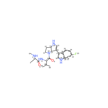 CNC(C)C(=O)NC(C(=O)N1CCC2NC=C(c3c[nH]c4cc(F)ccc34)C21)C(C)C